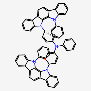 C/C=C(\C=C/Cn1c2ccccc2c2ccc3c4ccccc4n(-c4ccccc4)c3c21)N(C1=CCC(n2c3ccccc3c3ccc4c5ccccc5n(-c5ccccc5)c4c32)C=C1)c1ccccc1